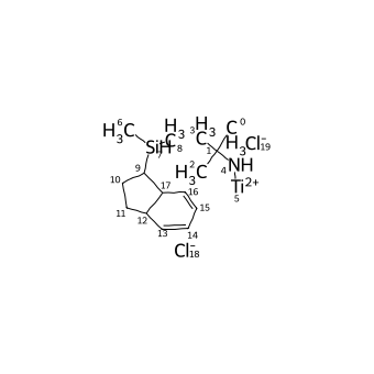 CC(C)(C)[NH][Ti+2].C[SiH](C)C1CCC2C=CC=CC21.[Cl-].[Cl-]